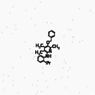 Cc1nc(Nc2ccccc2C(C)C)c(C)c(C)c1OCc1ccccc1